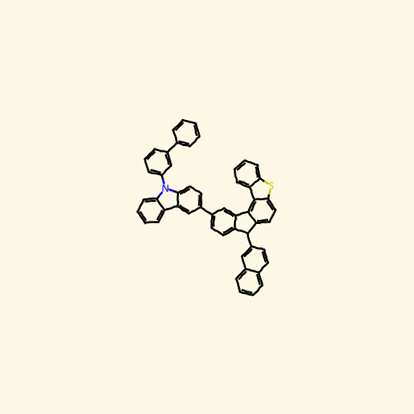 c1ccc(-c2cccc(-n3c4ccccc4c4cc(-c5ccc6c(c5)-c5c(ccc7sc8ccccc8c57)C6c5ccc6ccccc6c5)ccc43)c2)cc1